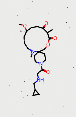 CO[C@]1(C)CCCN(C)C2(CCN(C(=O)CNCC3CC3)CC2)COC(=O)C(C)C(=O)CC1